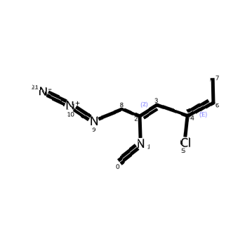 C=N/C(=C\C(Cl)=C/C)CN=[N+]=[N-]